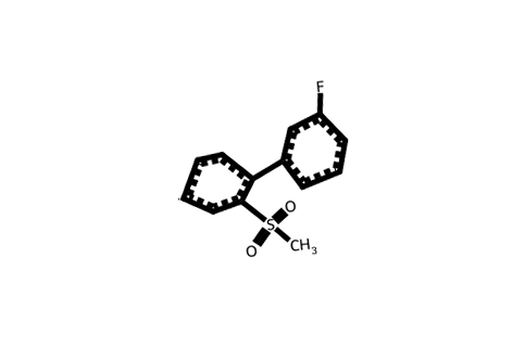 CS(=O)(=O)c1c[c]ccc1-c1cccc(F)c1